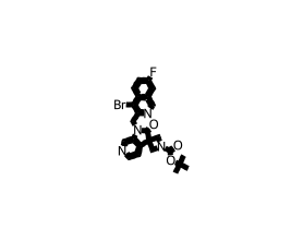 CC(C)(C)OC(=O)N1CC2(C1)C(=O)N(Cc1ncc3cc(F)ccc3c1Br)c1cnccc12